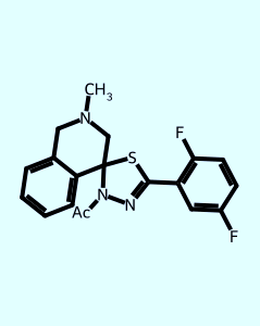 CC(=O)N1N=C(c2cc(F)ccc2F)SC12CN(C)Cc1ccccc12